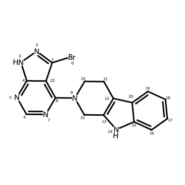 Brc1n[nH]c2ncnc(N3CCc4c([nH]c5ccccc45)C3)c12